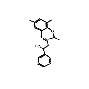 Cc1cc(C)c(OC(C)NCC(O)c2ccccc2)c(C)c1